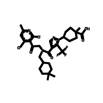 Cc1cc(Cl)c(C(=O)CN(CC2CCC(C)(C)CC2)C(=O)c2cnn(C3CCC(C)(C(=O)O)CC3)c2C(F)(F)F)c(Cl)n1